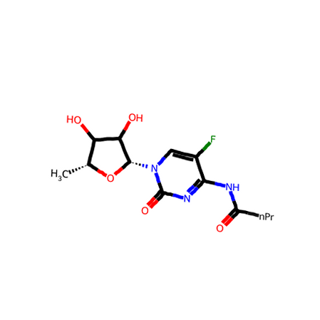 CCCC(=O)Nc1nc(=O)n([C@@H]2O[C@H](C)C(O)C2O)cc1F